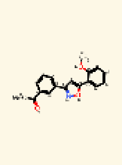 COC(=O)c1cccc(-c2cc(-c3ccccc3OC(F)(F)F)on2)c1